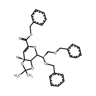 CC1(C)OC2C([C@@H](COCc3ccccc3)OCc3ccccc3)OC(C(=O)OCc3ccccc3)=C[C@H]2O1